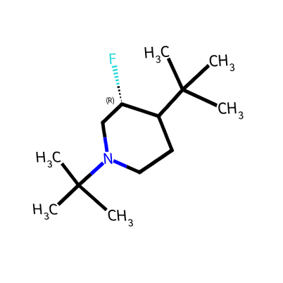 CC(C)(C)C1CCN(C(C)(C)C)C[C@@H]1F